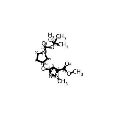 COC(=O)c1cc(O[C@H]2CCN(C(=O)OC(C)(C)C)C2)nn1C